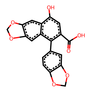 O=C(O)c1cc(O)c2cc3c(cc2c1-c1ccc2c(c1)OCO2)OCO3